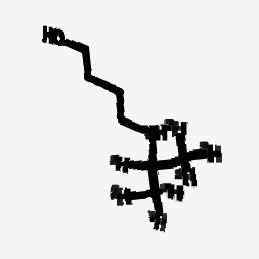 [2H]C([2H])([2H])C([2H])(NCCCCO)C([2H])([2H])[2H]